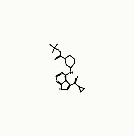 CC(C)(C)OC(=O)N1CCCC(Nc2ncnc3[nH]cc(C(=O)C4CC4)c23)C1